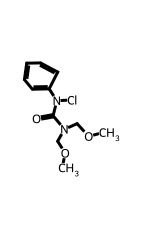 COCN(COC)C(=O)N(Cl)c1ccccc1